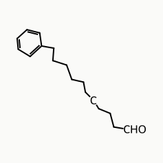 O=CCCCCCCCCCCc1ccccc1